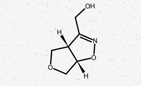 OCC1=NO[C@@H]2COC[C@H]12